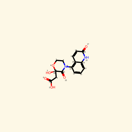 O=C(O)C[C@]1(O)OCCN(c2cccc3[nH]c(=O)ccc23)C1=O